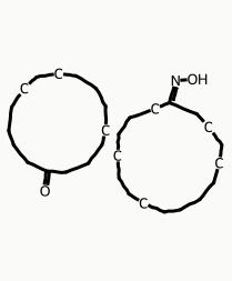 O=C1CCCCCCCCCCCCCC1.ON=C1CCCCCCCCCCCCCCC1